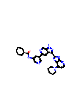 O=C(Nc1cncc(-c2cc3c(-c4nc5c(N6CCCCC6)ccnc5[nH]4)n[nH]c3cn2)c1)C1CCCCC1